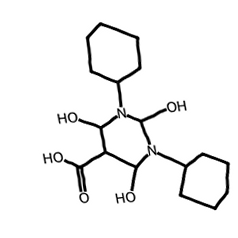 O=C(O)C1C(O)N(C2CCCCC2)C(O)N(C2CCCCC2)C1O